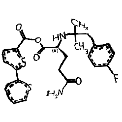 CC(C)(Cc1ccc(F)cc1)N[C@@H](CCC(N)=O)C(=O)OC(=O)c1ccc(-c2cccs2)s1